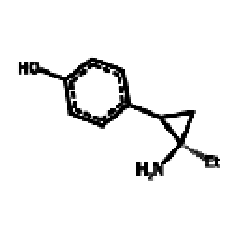 CC[C@@]1(N)CC1c1ccc(O)cc1